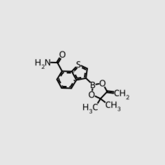 C=C1OB(c2csc3c(C(N)=O)cccc23)OC1(C)C